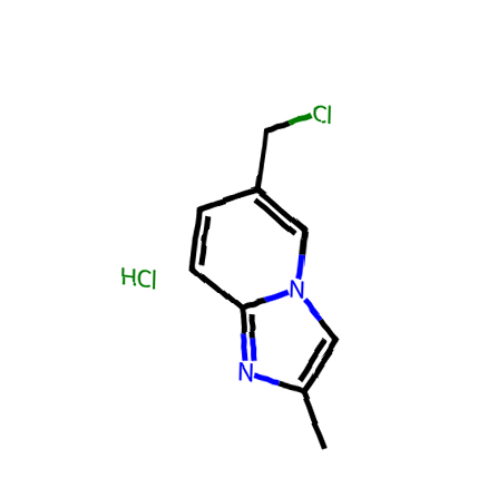 Cc1cn2cc(CCl)ccc2n1.Cl